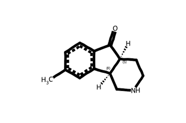 Cc1ccc2c(c1)[C@@H]1CNCC[C@@H]1C2=O